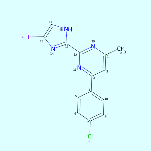 FC(F)(F)c1cc(-c2ccc(Cl)cc2)nc(-c2nc(I)c[nH]2)n1